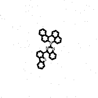 c1ccc2c3c(ccc2c1)N(c1nc(-c2cccc4c2sc2ccccc24)c2ccccc2n1)c1cccc2cccc-3c12